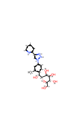 Cc1cc(-n2cc(-c3ccccn3)nn2)ccc1[C@@H](O)[C@H]1OC(CO)[C@@H](O)C(O)C1O